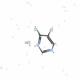 Cl.Clc1cncnc1Cl